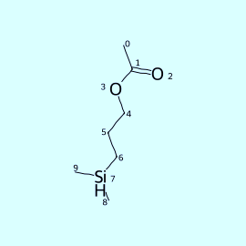 CC(=O)OCCC[SiH](C)C